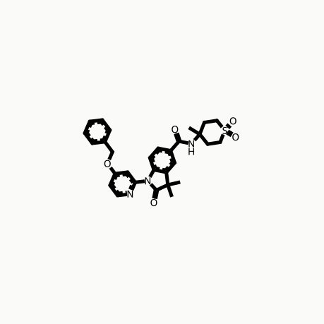 CC1(NC(=O)c2ccc3c(c2)C(C)(C)C(=O)N3c2cc(OCc3ccccc3)ccn2)CCS(=O)(=O)CC1